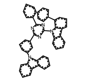 c1ccc(-c2nc(-c3cccc(-n4c5ccccc5c5ccccc54)c3)nc(-n3c4ccccc4c4cccc(-c5ccccc5)c43)n2)cc1